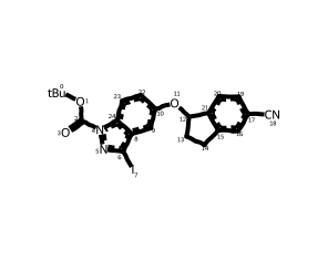 CC(C)(C)OC(=O)n1nc(I)c2cc(OC3CCc4cc(C#N)ccc43)ccc21